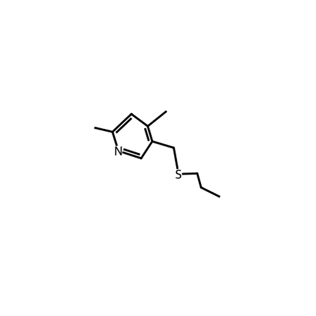 CCCSCc1cnc(C)cc1C